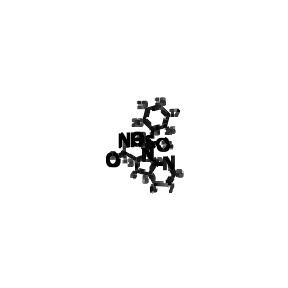 NC(=O)c1cc2cccnc2n1S(=O)(=O)c1ccccc1